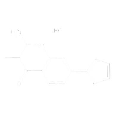 CC1C(=O)c2ccc(-c3ccco3)cc2OC1N.Cl